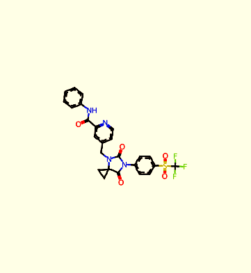 O=C(Nc1ccccc1)c1cc(CN2C(=O)N(c3ccc(S(=O)(=O)C(F)(F)F)cc3)C(=O)C23CC3)ccn1